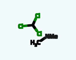 CNC.ClC(Cl)Cl